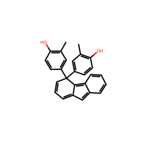 Cc1cc(C2(c3ccc(O)c(C)c3)C=CC=C3C=c4ccccc4=C32)ccc1O